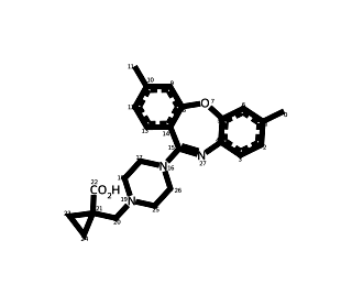 Cc1ccc2c(c1)Oc1cc(C)ccc1C(N1CCN(CC3(C(=O)O)CC3)CC1)=N2